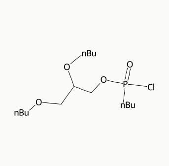 CCCCOCC(COP(=O)(Cl)CCCC)OCCCC